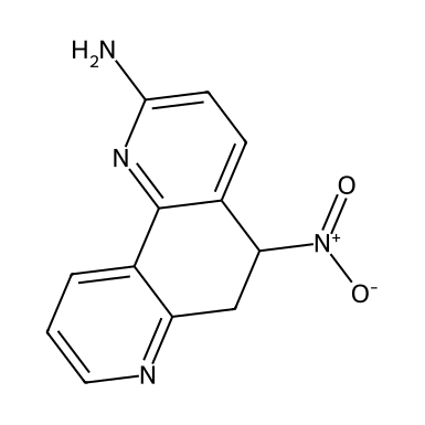 Nc1ccc2c(n1)-c1cccnc1CC2[N+](=O)[O-]